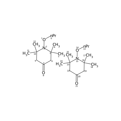 CCCON1C(C)(C)CC(=O)CC1(C)C.CCCON1C(C)(C)CC(=O)CC1(C)C